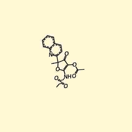 CC(=O)OC1=C(NS(C)(=O)=O)OC(C)(c2ccc3ccccc3n2)C1=O